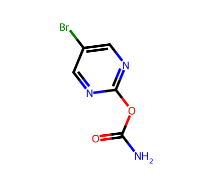 NC(=O)Oc1ncc(Br)cn1